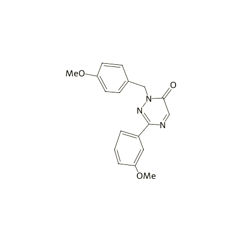 COc1ccc(Cn2nc(-c3cccc(OC)c3)ncc2=O)cc1